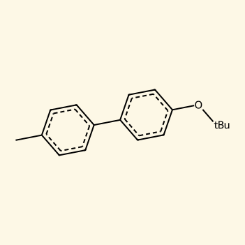 Cc1ccc(-c2ccc(OC(C)(C)C)cc2)cc1